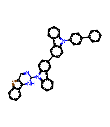 C1=NC(n2c3ccccc3c3cc(-c4ccc5c(c4)c4ccccc4n5-c4ccc(-c5ccccc5)cc4)ccc32)Nc2c1sc1ccccc21